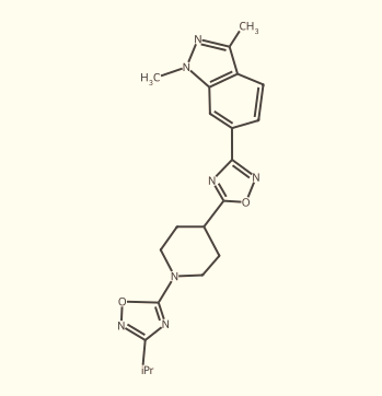 Cc1nn(C)c2cc(-c3noc(C4CCN(c5nc(C(C)C)no5)CC4)n3)ccc12